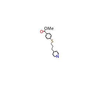 COC(=O)c1ccc(SCCCc2ccncc2)cc1